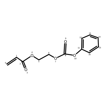 C=CC(=O)OCCOC(=O)Oc1ccccc1